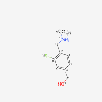 O=C(O)NCc1ccc(CO)cc1F